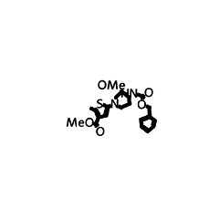 COC(=O)c1cc(N2CCC(NC(=O)OCc3ccccc3)C(OC)C2)sc1C